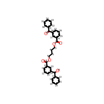 O=C(OCCCCOC(=O)c1cccc(C(=O)c2ccccc2)c1)c1cccc(C(=O)c2ccccc2)c1